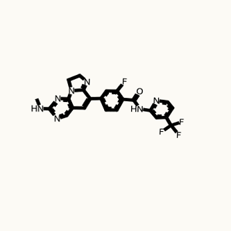 CNc1ncc2c(n1)N1CCN=C1C(c1ccc(C(=O)Nc3cc(C(F)(F)F)ccn3)c(F)c1)=C2